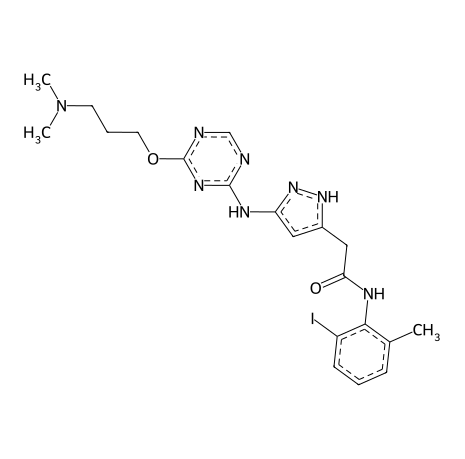 Cc1cccc(I)c1NC(=O)Cc1cc(Nc2ncnc(OCCCN(C)C)n2)n[nH]1